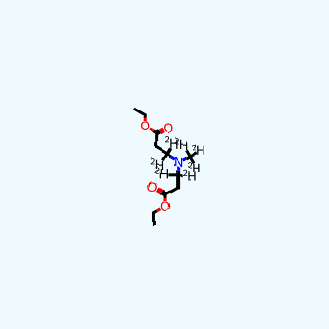 [2H]C([2H])([2H])N(C([2H])([2H])CC(=O)OCC)C([2H])([2H])CC(=O)OCC